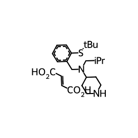 CC(C)CN(Cc1ccccc1SC(C)(C)C)C1CCNCC1.O=C(O)/C=C/C(=O)O